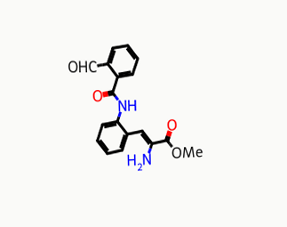 COC(=O)C(N)=Cc1ccccc1NC(=O)c1ccccc1C=O